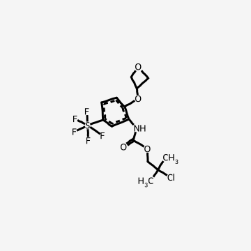 CC(C)(Cl)COC(=O)Nc1cc(S(F)(F)(F)(F)F)ccc1OC1COC1